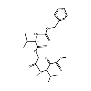 COC(=O)C(=O)C(C(C)C)N(C)C(=O)CNC(=O)[C@@H](NC(=O)OCc1ccccc1)C(C)C